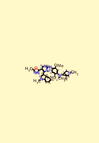 COc1cc(N(C)[C@H]2C3CN(C)C[C@@H]32)c([N+](=O)[O-])cc1Nc1ncc(-c2nnc(C)o2)c(-c2cn(C)c3ccccc23)n1